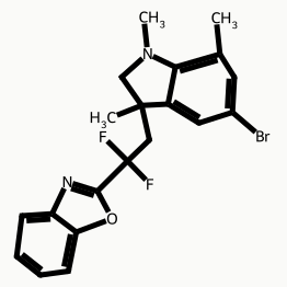 Cc1cc(Br)cc2c1N(C)CC2(C)CC(F)(F)c1nc2ccccc2o1